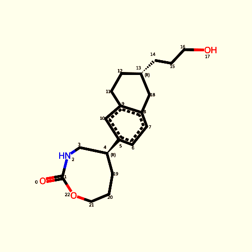 O=C1NC[C@@H](c2ccc3c(c2)CC[C@H](CCCO)C3)CCCO1